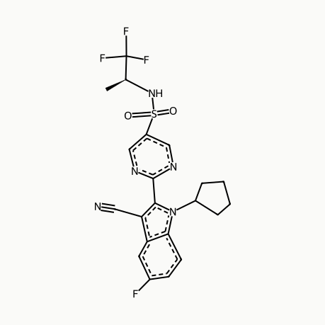 C[C@H](NS(=O)(=O)c1cnc(-c2c(C#N)c3cc(F)ccc3n2C2CCCC2)nc1)C(F)(F)F